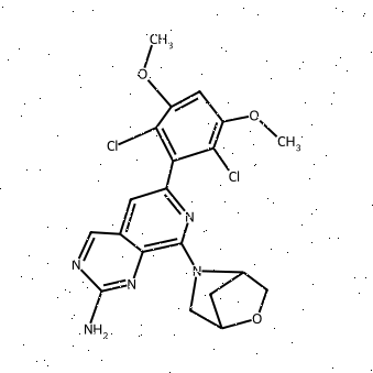 COc1cc(OC)c(Cl)c(-c2cc3cnc(N)nc3c(N3CC4CC3CO4)n2)c1Cl